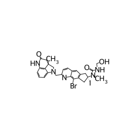 CN(C(=O)NCO)[C@]1(I)Cc2cc3ccc(CN4CC5(C)CC(=O)Nc6cccc4c65)nc3c(Br)c2C1